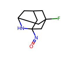 O=NC12CC3CC(CC(F)(C3)C1)N2